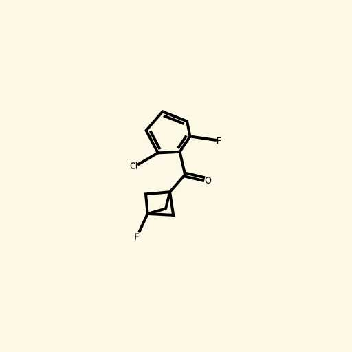 O=C(c1c(F)cccc1Cl)C12CC(F)(C1)C2